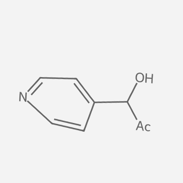 CC(=O)C(O)c1ccncc1